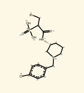 CC(C)CC(C(=O)N[C@@H]1CCCN(Cc2ccc(Cl)cc2)C1)P(=O)(O)O